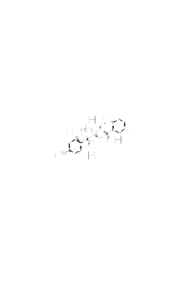 Cc1ccccc1C(C)(C)CCC(C)(C)c1ccc(Cl)cc1